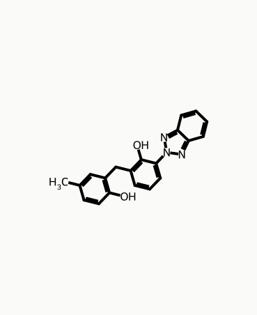 Cc1ccc(O)c(Cc2cccc(-n3nc4ccccc4n3)c2O)c1